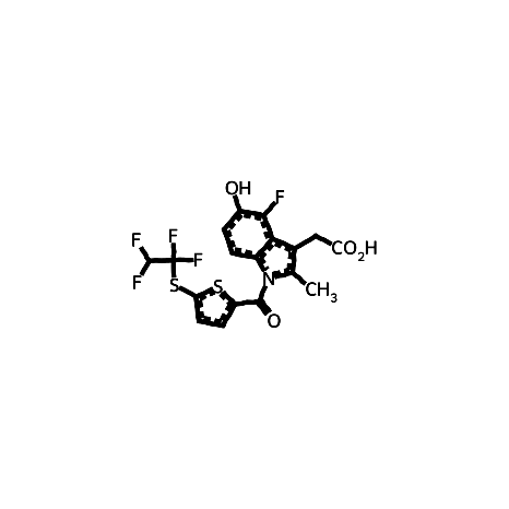 Cc1c(CC(=O)O)c2c(F)c(O)ccc2n1C(=O)c1ccc(SC(F)(F)C(F)F)s1